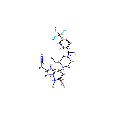 CCC1CN(C(C)c2ccc(C(F)(F)F)cn2)CCN1c1cc(=O)n(C)n2cc(CC#N)nc12